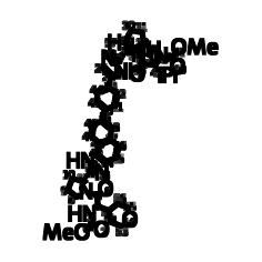 COC(=O)NC(C(=O)N1CCC[C@H]1c1nc2ccc3cc(-c4ccc(-c5cnc([C@@H]6[C@H]7CC[C@H](C7)N6C(=O)[C@@H](NC(=O)OC)C(C)C)[nH]5)cc4)ccc3c2[nH]1)C1CCOCC1